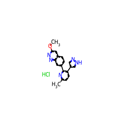 COc1cc2ccc(-c3nc(C)ccc3-c3cn[nH]c3)cc2nn1.Cl